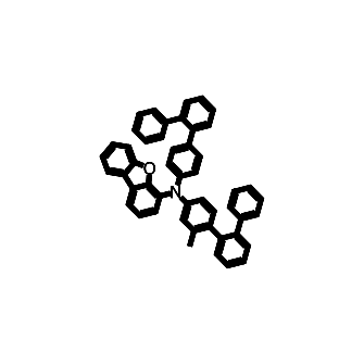 Cc1cc(N(c2ccc(-c3ccccc3-c3ccccc3)cc2)c2cccc3c2oc2ccccc23)ccc1-c1ccccc1-c1ccccc1